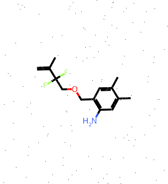 C=C(C)C(F)(F)COCc1cc(C)c(C)cc1N